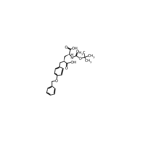 CC(C)(C)OC(=O)N[C@@H](C[C@H](Cc1ccc(OCc2ccccc2)cc1)C(=O)O)C(=O)O